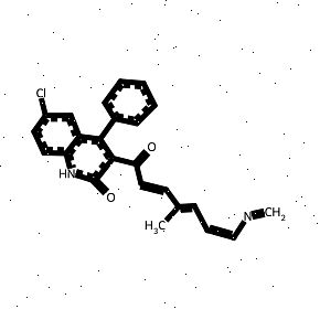 C=N\C=C/C=C(C)/C=C/C(=O)c1c(-c2ccccc2)c2cc(Cl)ccc2[nH]c1=O